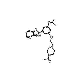 CC(=O)N1CCN(CCOc2cc(OC(C)C)cc(-c3nc4cccnc4[nH]3)c2)CC1